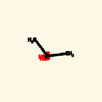 CCCCCCCCCCCCCCCCCC(=O)N(C(=O)CCCCCCCCCCCCCCCCC)C(CO)C(=O)O